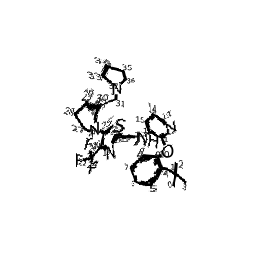 CC(C)(C)c1ccccc1Oc1ncccc1Nc1nc(C(F)(F)F)c(N2CCC[C@H]2CN2CCCC2)s1